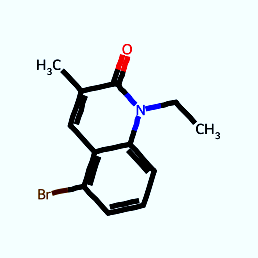 CCn1c(=O)c(C)cc2c(Br)cccc21